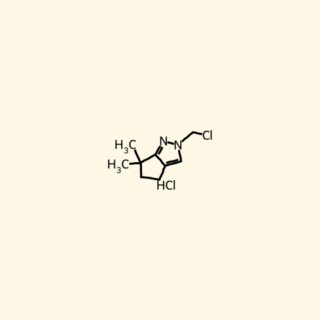 CC1(C)CCc2cn(CCl)nc21.Cl